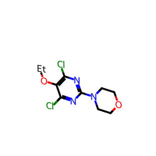 CCOc1c(Cl)nc(N2CCOCC2)nc1Cl